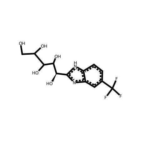 OCC(O)C(O)C(O)[C@H](O)c1nc2cc(C(F)(F)F)ccc2[nH]1